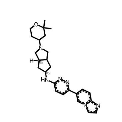 CC1(C)CC(N2CC3C[C@@H](Nc4ccc(-c5ccc6nccn6c5)nn4)C[C@@H]3C2)CCO1